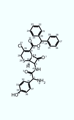 NC(C(=O)NC1C(=O)N2C(C(=O)OC(c3ccccc3)c3ccccc3)=C(Cl)CS[C@H]12)c1ccc(O)cc1